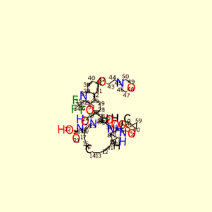 CC1(S(=O)(=O)NC(=O)[C@@]23C[C@H]2C=CCCCCC[C@H](NC(=O)O)C(=O)N2C[C@@]4(CCc5c(c(C(F)(F)F)nc6ccc(OCCN7CCOCC7)cc56)O4)C[C@H]2C(=O)N3)CC1